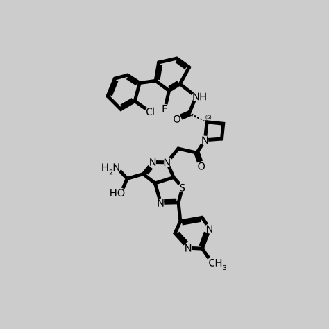 Cc1ncc(C2=NC3C(C(N)O)=NN(CC(=O)N4CC[C@H]4C(=O)Nc4cccc(-c5ccccc5Cl)c4F)C3S2)cn1